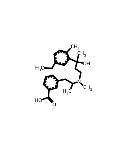 CCc1ccc(C)c(C(C)(O)CCN(C)C(C)Cc2cccc(C(=O)O)c2)c1